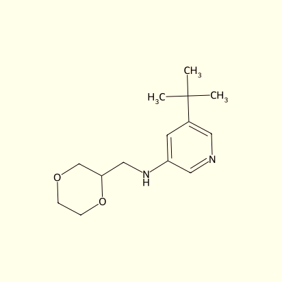 CC(C)(C)c1cncc(NCC2COCCO2)c1